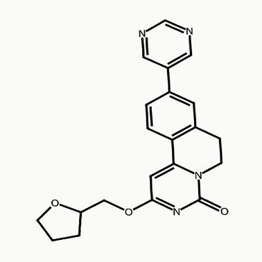 O=c1nc(OCC2CCCO2)cc2n1CCc1cc(-c3cncnc3)ccc1-2